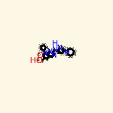 O=c1c(CO)cc2cnc(Nc3ccc(N4CCCCCC4)cn3)nc2n1C1CCCC1